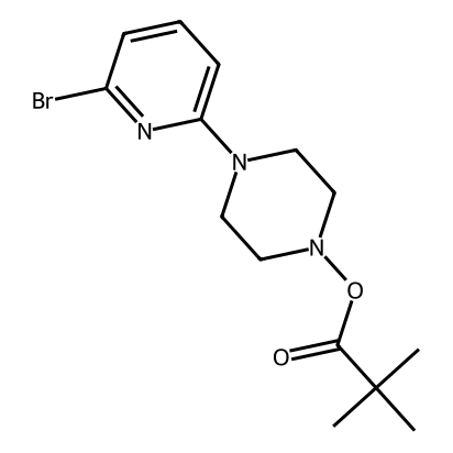 CC(C)(C)C(=O)ON1CCN(c2cccc(Br)n2)CC1